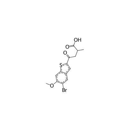 COc1cc2sc(C(=O)CC(C)C(=O)O)cc2cc1Br